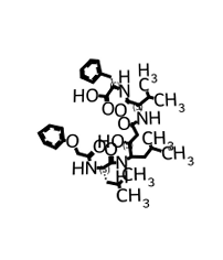 CC(C)CC(NC(=O)[C@H](CC(C)C)NC(=O)COc1ccccc1)[C@@H](O)CC(=O)N[C@H](C(=O)N[C@@H](Cc1ccccc1)C(=O)O)C(C)C